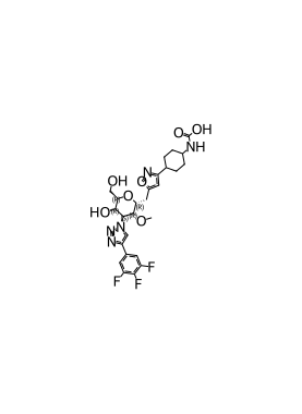 CO[C@@H]1[C@@H](n2cc(-c3cc(F)c(F)c(F)c3)nn2)[C@@H](O)[C@@H](CO)O[C@@H]1Cc1cc(C2CCC(NC(=O)O)CC2)no1